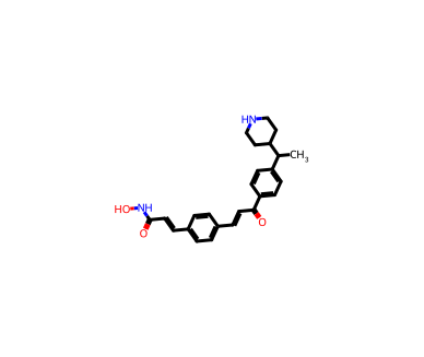 CC(c1ccc(C(=O)C=Cc2ccc(C=CC(=O)NO)cc2)cc1)C1CCNCC1